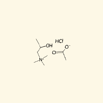 CC(=O)[O-].CC(O)C[N+](C)(C)C.Cl